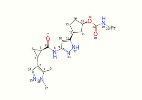 Cc1c(C2C[C@H]2C(=O)Nc2cc([C@H]3CC[C@@H](OC(=O)NC(C)C)C3)[nH]n2)cnn1C